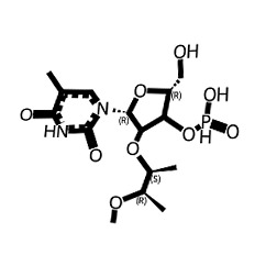 CO[C@H](C)[C@H](C)OC1C(O[PH](=O)O)[C@@H](CO)O[C@H]1n1cc(C)c(=O)[nH]c1=O